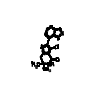 CC1(C)Cn2nc(-c3ccnc4cnsc34)c(Cl)c2C(=O)N1